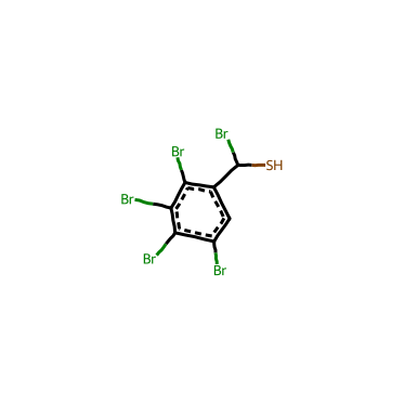 SC(Br)c1cc(Br)c(Br)c(Br)c1Br